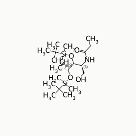 CCC(=O)N[C@@H](CO)C(O[Si](C)(C)C(C)(C)C)[C@@H](C)O[Si](C)(C)C(C)(C)C